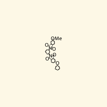 COc1ccc2c(c1)C(=O)N(c1cccc(N3C(=O)c4ccc(Oc5ccccc5)cc4C3=O)c1)C2=O